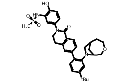 CC(C)(C)c1ccc(-c2ccc3c(c2)CCN(c2ccc(O)c(NS(C)(=O)=O)c2)C3=O)c(N2CC3CCOCC2C3)c1